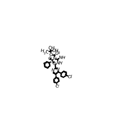 CC(C)(C)OC(=O)N(C(=N)NCc1ncc(-c2ccc(Cl)cc2)c(-c2ccc(Cl)cc2)n1)S(=O)(=O)c1ccccc1